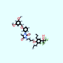 CCCc1cc(C(O)(C(F)(F)F)C(F)(F)F)cc(CCC)c1OCCCCN1C(=O)C(C)N(c2cccc(OCc3cc(OC)cc(OC)c3)c2)C1=O